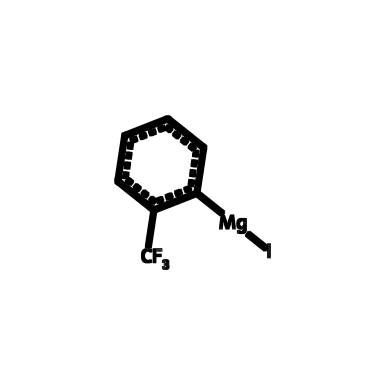 FC(F)(F)c1cccc[c]1[Mg][I]